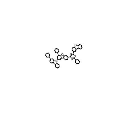 c1ccc(-c2ccc3c4ccccc4n(-c4cc(-c5ccccc5)c5oc6cc(-c7nc(-c8ccccc8)nc(-c8ccc9oc%10ccccc%10c9c8)n7)ccc6c5c4)c3c2)cc1